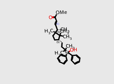 COC(=O)/C=C/[C@H](C)[C@@]1(C)CC[C@@H](CCC(C)(C)[Si](O)(c2ccccc2)c2ccccc2)C1(C)C